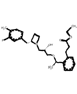 CCOC(=O)CCc1ccccc1[C@@H](C)OC[C@@H](O)CN1CC[C@H]1Cc1ccc(C)c(F)c1